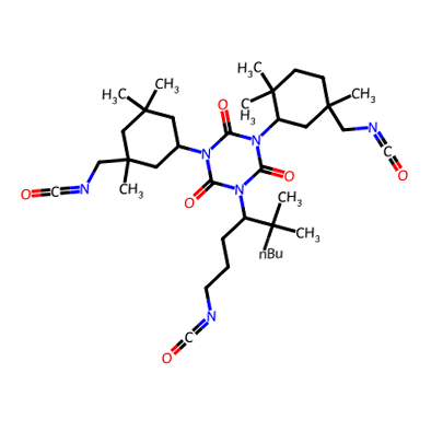 CCCCC(C)(C)C(CCCN=C=O)n1c(=O)n(C2CC(C)(C)CC(C)(CN=C=O)C2)c(=O)n(C2CC(C)(CN=C=O)CCC2(C)C)c1=O